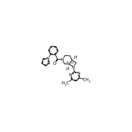 Cc1cc(C)nc(N2C[C@@H]3CCN(C(=O)c4ccccc4-n4cccc4)C[C@@H]32)n1